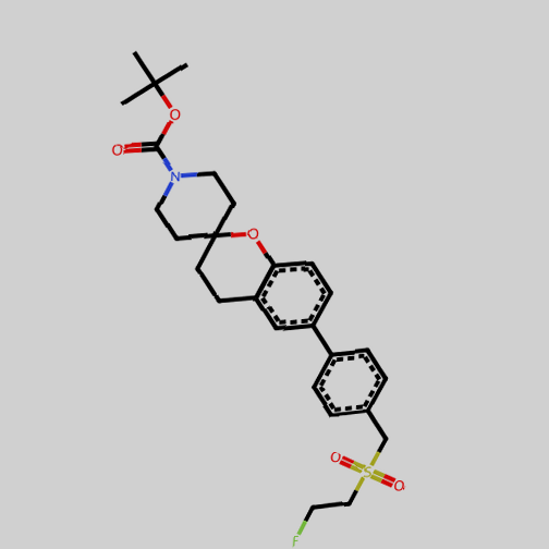 CC(C)(C)OC(=O)N1CCC2(CCc3cc(-c4ccc(CS(=O)(=O)CCF)cc4)ccc3O2)CC1